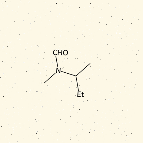 [CH2]N(C=O)C(C)CC